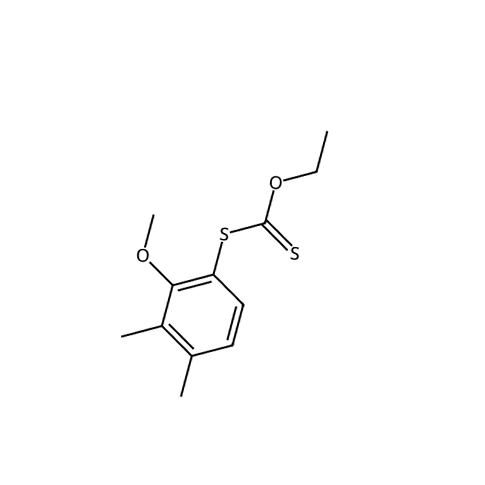 CCOC(=S)Sc1ccc(C)c(C)c1OC